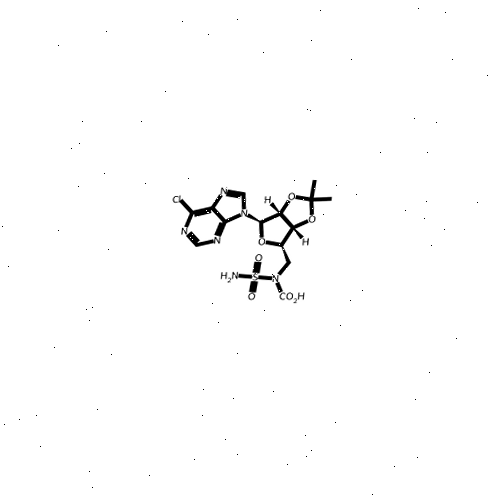 CC1(C)O[C@@H]2[C@H](O1)[C@@H](CN(C(=O)O)S(N)(=O)=O)O[C@H]2n1cnc2c(Cl)ncnc21